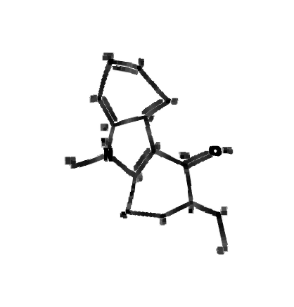 CCC1CCc2c(c3ccccc3n2C)C1=O